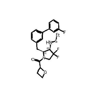 CCSN[C@@H]1[C@H](Cc2cccc(-c3cccc(F)c3)c2)N(C(=O)C2CCO2)CC1(F)F